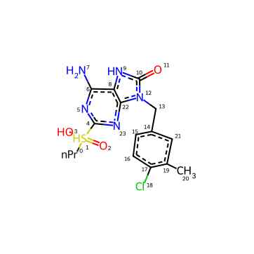 CCC[SH](=O)(O)c1nc(N)c2[nH]c(=O)n(Cc3ccc(Cl)c(C)c3)c2n1